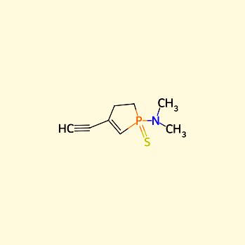 C#CC1=CP(=S)(N(C)C)CC1